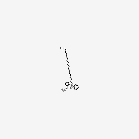 CCCCCCCCCCCCCCCCCC[Si](C)(C1=C(CC)C=CC1)c1ccccc1